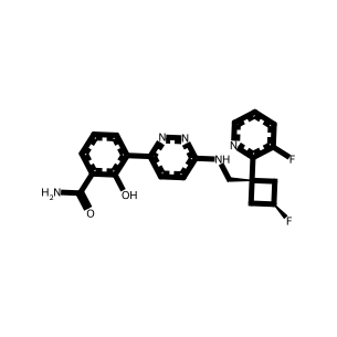 NC(=O)c1cccc(-c2ccc(NC[C@]3(c4ncccc4F)C[C@H](F)C3)nn2)c1O